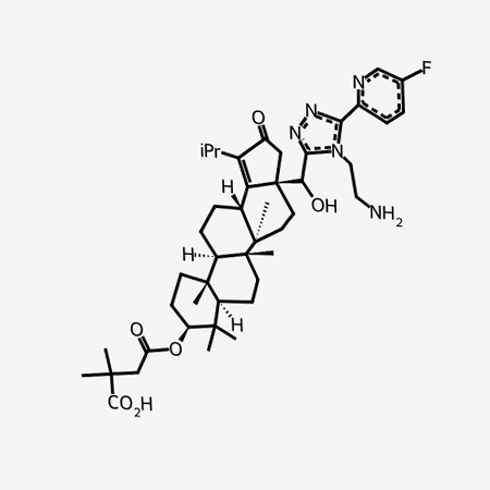 CC(C)C1=C2[C@H]3CC[C@@H]4[C@@]5(C)CC[C@H](OC(=O)CC(C)(C)C(=O)O)C(C)(C)[C@@H]5CC[C@@]4(C)[C@]3(C)CC[C@@]2(C(O)c2nnc(-c3ccc(F)cn3)n2CCN)CC1=O